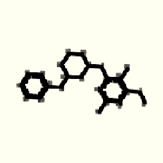 CCc1nc(C)nc(CC2CCC[C@H](Cc3ccccc3)C2)c1C